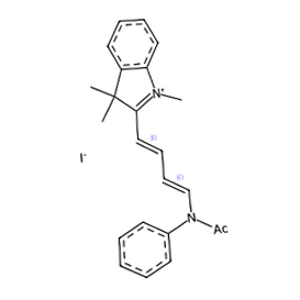 CC(=O)N(/C=C/C=C/C1=[N+](C)c2ccccc2C1(C)C)c1ccccc1.[I-]